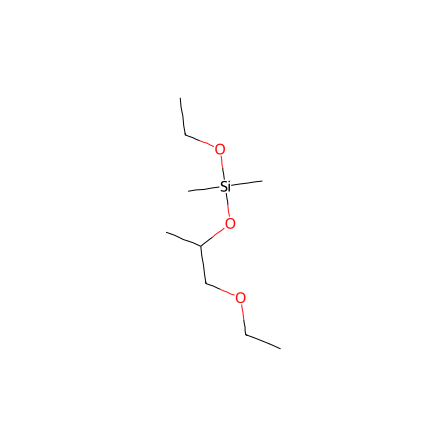 CCOCC(C)O[Si](C)(C)OCC